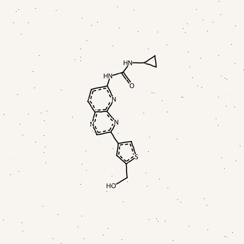 O=C(Nc1ccc2ncc(-c3csc(CO)c3)nc2n1)NC1CC1